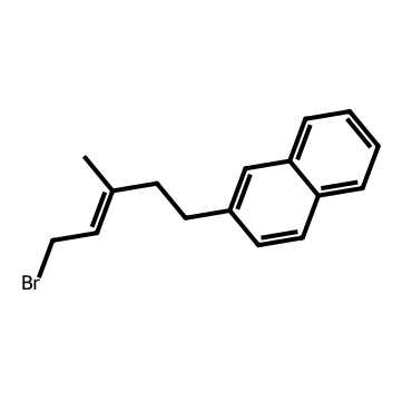 CC(=CCBr)CCc1ccc2ccccc2c1